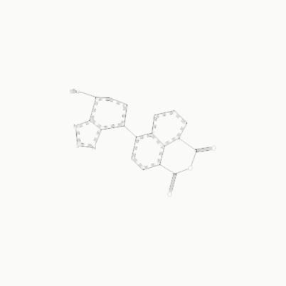 CC(C)(C)c1ccc(-c2ccc3c4c(cccc24)C(=O)OC3=O)c2nsnc12